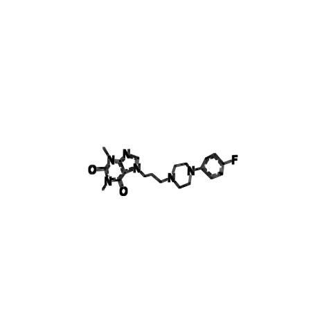 Cn1c(=O)c2c(ncn2CCCN2CCN(c3ccc(F)cc3)CC2)n(C)c1=O